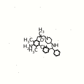 Cc1c(C)c2c(c(C)c1N)C[C@](C)(CN1CCC(NC(c3ccccc3)c3ccccc3)CC1)O2